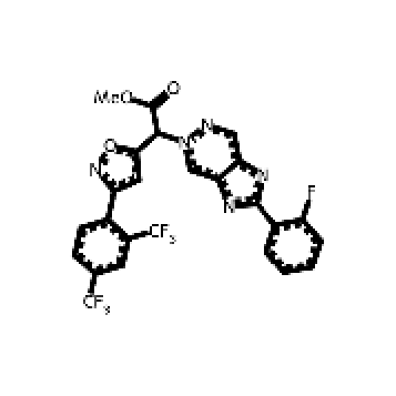 COC(=O)C(c1cc(-c2ccc(C(F)(F)F)cc2C(F)(F)F)no1)n1cc2nc(-c3ccccc3F)nc-2cn1